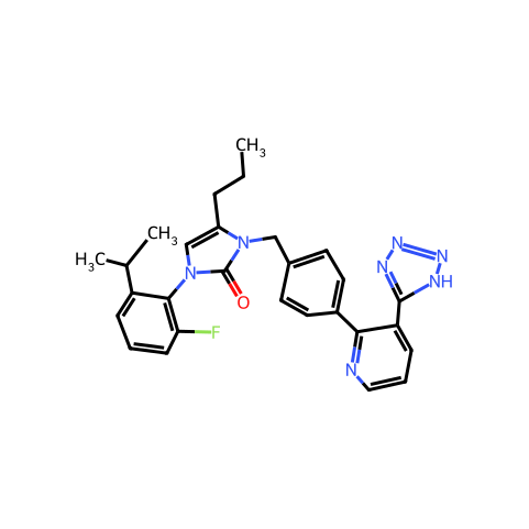 CCCc1cn(-c2c(F)cccc2C(C)C)c(=O)n1Cc1ccc(-c2ncccc2-c2nnn[nH]2)cc1